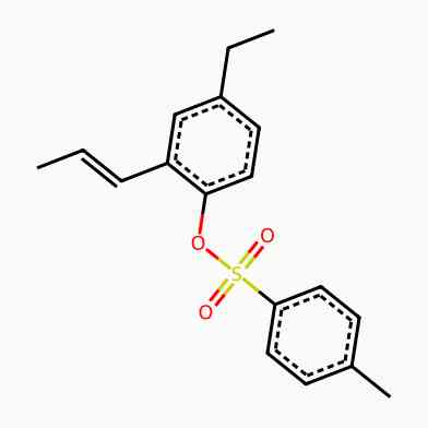 CC=Cc1cc(CC)ccc1OS(=O)(=O)c1ccc(C)cc1